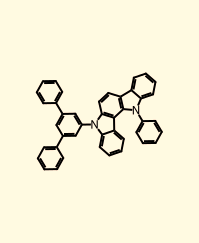 c1ccc(-c2cc(-c3ccccc3)cc(-n3c4ccccc4c4c3ccc3c5ccccc5n(-c5ccccc5)c34)c2)cc1